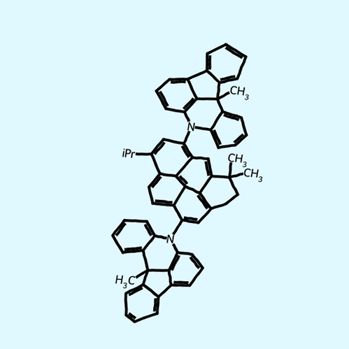 CC(C)c1cc(N2c3ccccc3C3(C)c4ccccc4-c4cccc2c43)c2cc3c4c(cc(N5c6ccccc6C6(C)c7ccccc7-c7cccc5c76)c5ccc1c2c54)CCC3(C)C